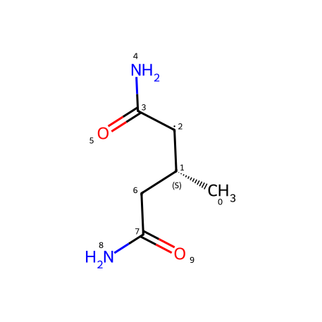 C[C@@H]([CH]C(N)=O)CC(N)=O